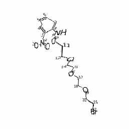 O=[N+]([O-])c1ccccc1NOCCOCCOCCOCCBr